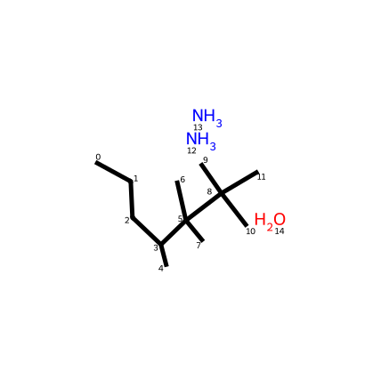 CCCC(C)C(C)(C)C(C)(C)C.N.N.O